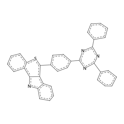 c1ccc(-c2nc(-c3ccccc3)nc(-c3ccc(-c4sc5ccccc5c5nc6ccccc6c4-5)cc3)n2)cc1